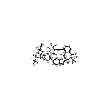 [2H]C([2H])([2H])N1C(=O)c2cccc(C#C[Si](C(C)C)(C(C)C)C(C)C)c2[C@H]2C[C@@H]1c1nc3ccc(-c4cnc(C5(N[S+]([O-])C(C)(C)C)CC(C)(C#N)C5)nc4)cc3n12